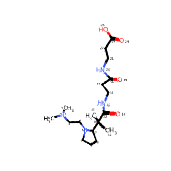 CN(C)CCN1CCCC1C(C)(C)C(=O)NCCC(=O)NCCC(=O)O